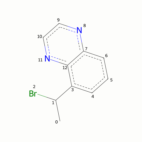 CC(Br)c1cccc2nccnc12